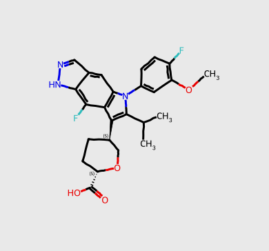 COc1cc(-n2c(C(C)C)c([C@@H]3CC[C@@H](C(=O)O)OC3)c3c(F)c4[nH]ncc4cc32)ccc1F